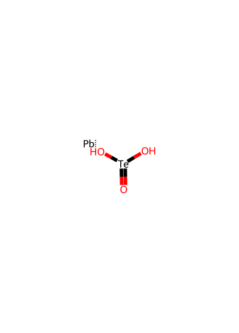 O=[Te](O)O.[Pb]